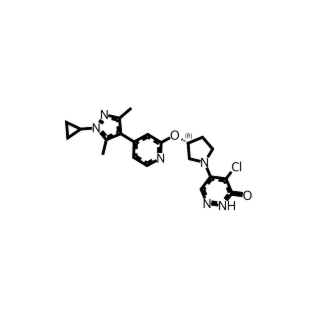 Cc1nn(C2CC2)c(C)c1-c1ccnc(O[C@@H]2CCN(c3cn[nH]c(=O)c3Cl)C2)c1